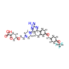 Nc1nc2c(c(N3CCN(CCOC4CCC(C(=O)O)OC4)CC3)n1)CCc1cc(OCc3ccc(OC(F)(F)F)cc3)ccc1-2